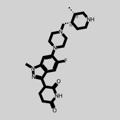 C[C@@H]1CNCC[C@@H]1CN1CCN(c2cc3c(cc2F)c(C2CCC(=O)NC2=O)nn3C)CC1